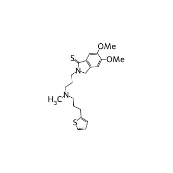 COc1cc2c(cc1OC)C(=S)N(CCCN(C)CCCc1cccs1)C2